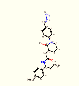 COc1ccc(C(CC(=O)O)NC(=O)CC2CCCN(c3ccc(C=NN)cc3)C2=O)cc1